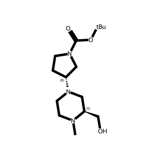 CN1CCN([C@@H]2CCN(C(=O)OC(C)(C)C)C2)C[C@H]1CO